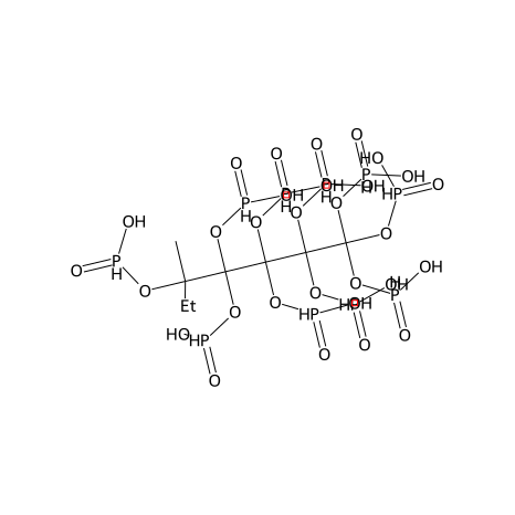 CCC(C)(O[PH](=O)O)C(O[PH](=O)O)(O[PH](=O)O)C(O[PH](=O)O)(O[PH](=O)O)C(O[PH](=O)O)(O[PH](=O)O)C(O[PH](=O)O)(O[PH](=O)O)O[PH](=O)O